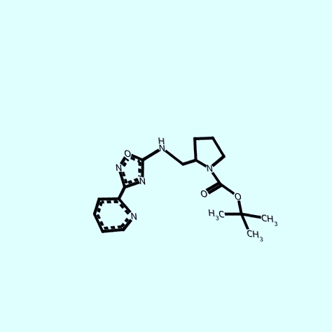 CC(C)(C)OC(=O)N1CCCC1CNc1nc(-c2ccccn2)no1